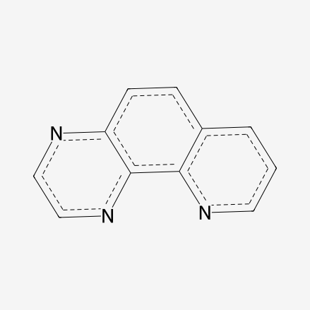 c1cnc2c(c1)ccc1nccnc12